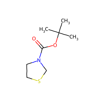 CC(C)(C)OC(=O)N1CCSC1